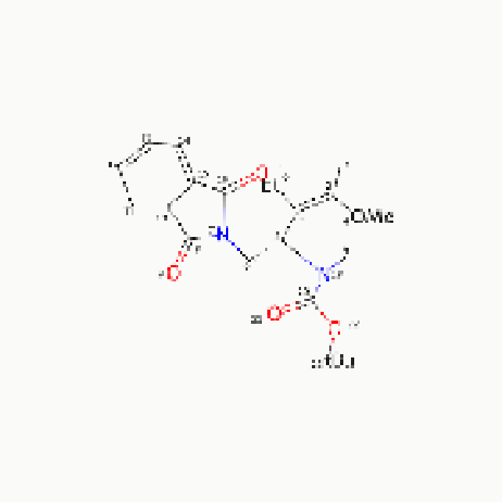 CC/C(=C(\C)OC)[C@@H](CN1C(=O)c2ccccc2C1=O)N(C)C(=O)OC(C)(C)C